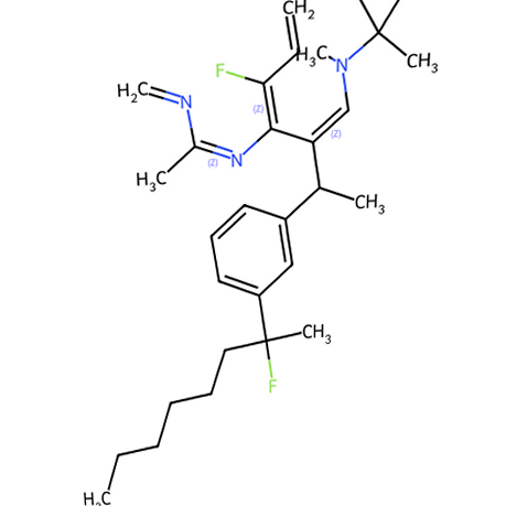 C=C/C(F)=C(/N=C(/C)N=C)C(=C/N(C)C1(C)CC1)\C(C)c1cccc(C(C)(F)CCCCCC)c1